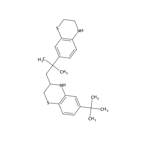 CC(C)(C)c1ccc2c(c1)NC(CC(C)(C)c1ccc3c(c1)SCCN3)CS2